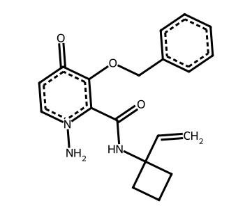 C=CC1(NC(=O)c2c(OCc3ccccc3)c(=O)ccn2N)CCC1